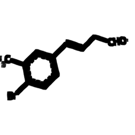 O=[C]CC=Cc1ccc(Br)c(C(F)(F)F)c1